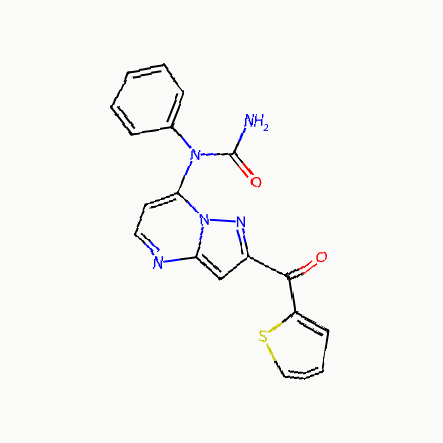 NC(=O)N(c1ccccc1)c1ccnc2cc(C(=O)c3cccs3)nn12